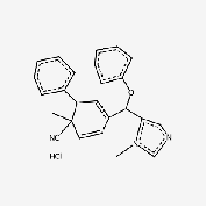 Cl.Cn1cncc1C(Oc1ccccc1)C1=CC(c2ccccc2)C(C)(C#N)C=C1